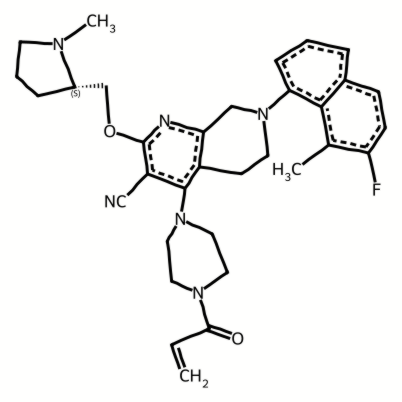 C=CC(=O)N1CCN(c2c(C#N)c(OC[C@@H]3CCCN3C)nc3c2CCN(c2cccc4ccc(F)c(C)c24)C3)CC1